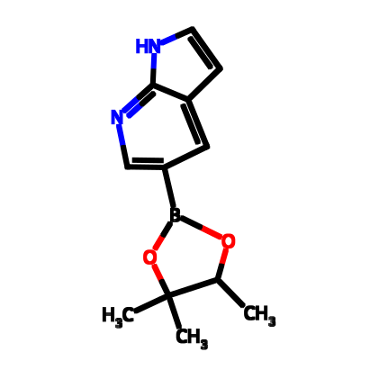 CC1OB(c2cnc3[nH]ccc3c2)OC1(C)C